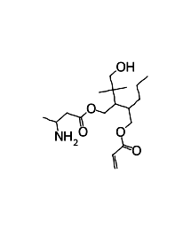 C=CC(=O)OCC(CCC)C(COC(=O)CC(C)N)C(C)(C)CO